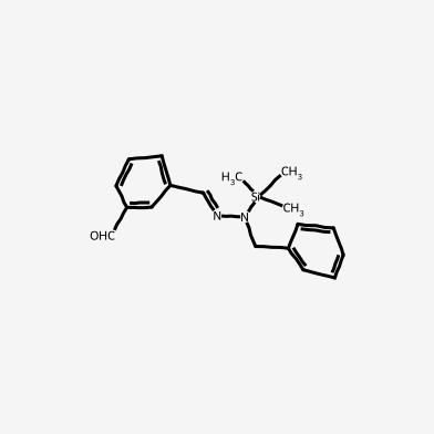 C[Si](C)(C)N(Cc1ccccc1)N=Cc1cccc(C=O)c1